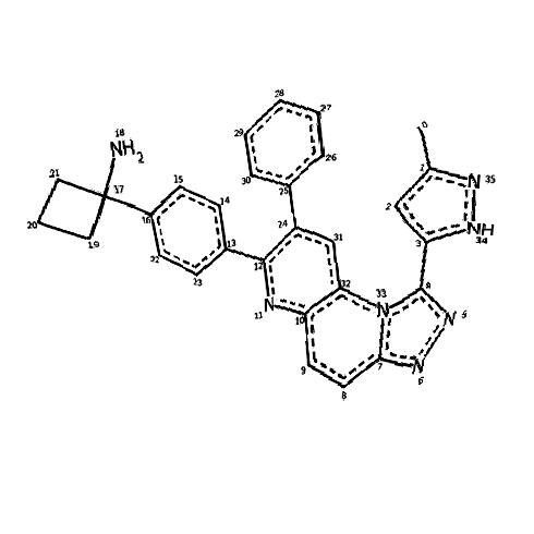 Cc1cc(-c2nnc3ccc4nc(-c5ccc(C6(N)CCC6)cc5)c(-c5ccccc5)cc4n23)[nH]n1